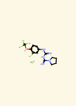 Cl.N=C(NC(=N)N1CCCC1)Nc1ccc(OC(F)(F)F)c(F)c1